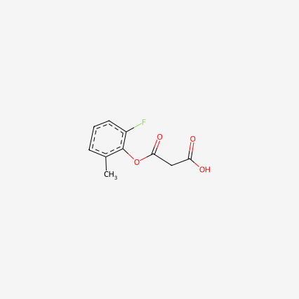 Cc1cccc(F)c1OC(=O)CC(=O)O